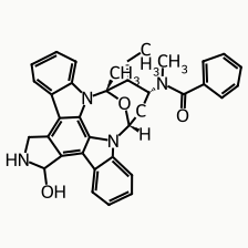 CC[C@@H]1[C@H](N(C)C(=O)c2ccccc2)C[C@H]2O[C@]1(C)n1c3ccccc3c3c4c(c5c6ccccc6n2c5c31)C(O)NC4